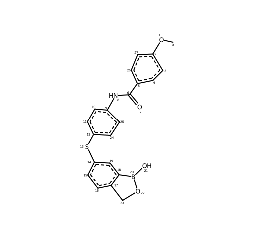 COc1ccc(C(=O)Nc2ccc(Sc3ccc4c(c3)B(O)OC4)cc2)cc1